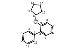 [c]1ccc(-c2ccccc2OC2CCCC2)cc1